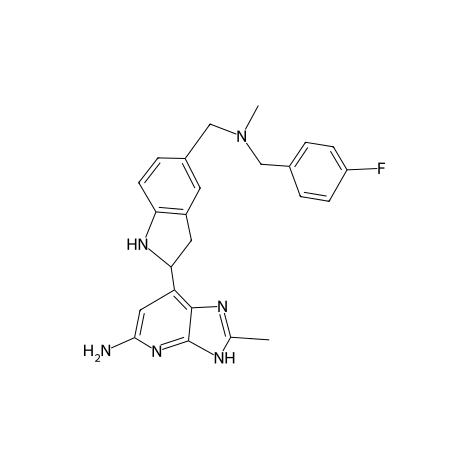 Cc1nc2c(C3Cc4cc(CN(C)Cc5ccc(F)cc5)ccc4N3)cc(N)nc2[nH]1